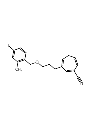 Cc1cc(I)ccc1COCCCC1=CCC=CC(C#N)=C1